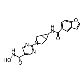 O=C(NO)c1cnc(N2CC3C(C2)C3NC(=O)c2ccc3occc3c2)nc1